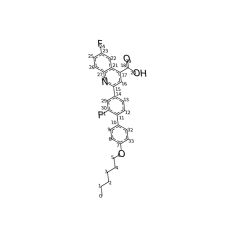 CCCCCCOc1ccc(-c2ccc(-c3cc(C(=O)O)c4cc(F)ccc4n3)cc2F)cc1